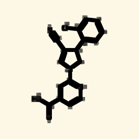 N#CC1=CN(c2cc(C(=O)O)ccn2)CC1c1ccccc1Cl